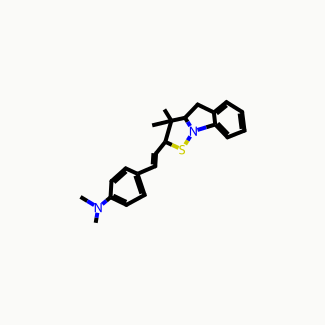 CN(C)c1ccc(C=CC2SN3c4ccccc4CC3C2(C)C)cc1